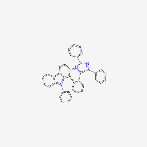 c1ccc(-c2nc(-c3ccccc3)n3c4ccc5c6ccccc6n(-c6ccccc6)c5c4c4ccccc4c23)cc1